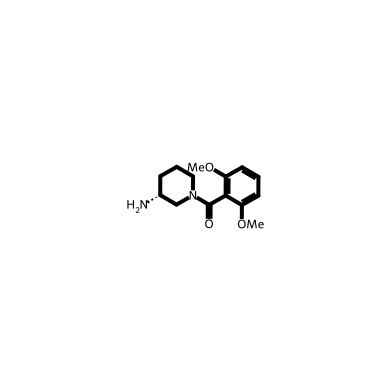 COc1cccc(OC)c1C(=O)N1CCC[C@@H](N)C1